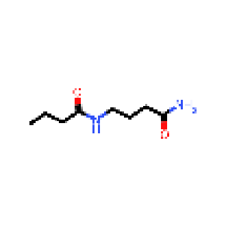 CCCC(=O)NCCCC(N)=O